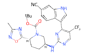 Cc1noc([C@H]2CC[C@H](Nc3ncc(C(F)(F)F)c(-c4c[nH]c5cc(C#N)ccc45)n3)CN2C(=O)OC(C)(C)C)n1